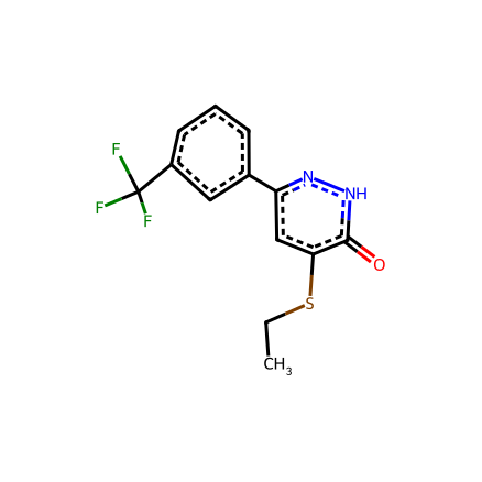 CCSc1cc(-c2cccc(C(F)(F)F)c2)n[nH]c1=O